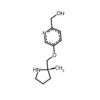 C[C@@]1(COc2ccc(CO)nc2)CCCN1